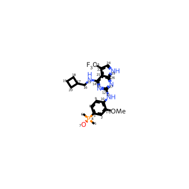 COc1cc(P(C)(C)=O)ccc1Nc1nc(NCC2CCC2)c2c(C(F)(F)F)c[nH]c2n1